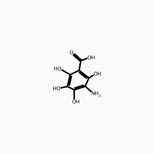 Nc1c(O)c(O)c(O)c(C(=O)O)c1O